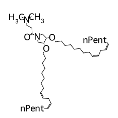 CCCCC/C=C\C/C=C\CCCCCCCCOC1CN(C(=O)CCN(C)C)C[C@H]1OCCCCCCCC/C=C\C/C=C\CCCCC